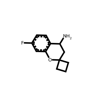 NC1CC2(CCC2)Oc2cc(F)ccc21